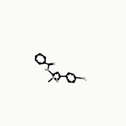 Cn1nc(-c2ccc(N)cc2)cc1NC(=O)c1ccccc1